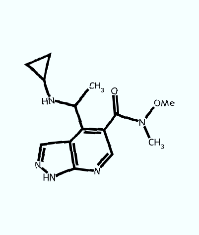 CON(C)C(=O)c1cnc2[nH]ncc2c1C(C)NC1CC1